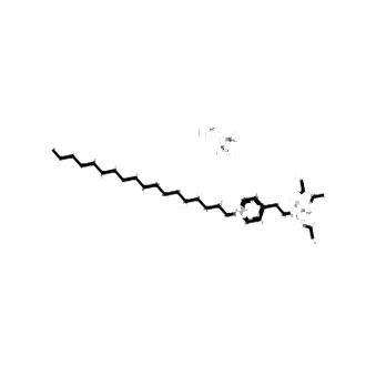 CCCCCCCCCCCCCCCCCC[n+]1ccc(CC[Si](OCC)(OCC)OCC)cc1.[O-]B(O)O